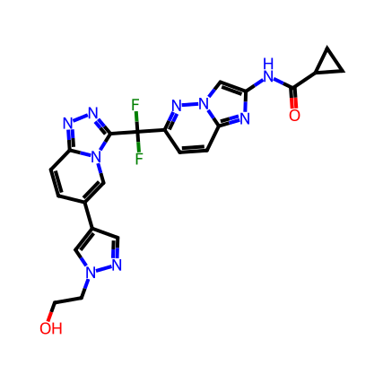 O=C(Nc1cn2nc(C(F)(F)c3nnc4ccc(-c5cnn(CCO)c5)cn34)ccc2n1)C1CC1